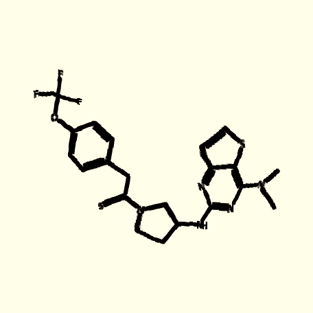 CN(C)c1nc(NC2CCN(C(=S)Cc3ccc(OC(F)(F)F)cc3)C2)nc2ccsc12